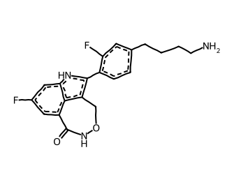 NCCCCc1ccc(-c2[nH]c3cc(F)cc4c3c2CONC4=O)c(F)c1